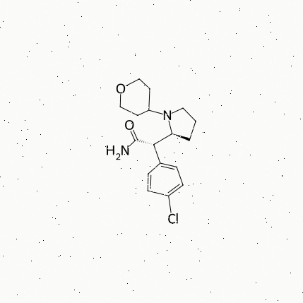 NC(=O)[C@@H](c1ccc(Cl)cc1)[C@@H]1CCCN1C1CCOCC1